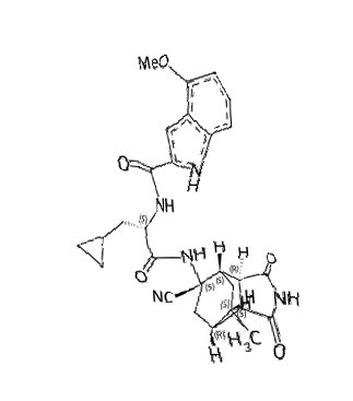 COc1cccc2[nH]c(C(=O)N[C@@H](CC3CC3)C(=O)N[C@@]3(C#N)C[C@H]4[C@@H]5C(=O)NC(=O)[C@@H]5[C@@H]3C[C@@H]4C)cc12